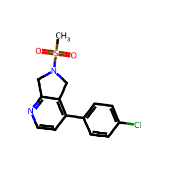 CS(=O)(=O)N1Cc2nccc(-c3ccc(Cl)cc3)c2C1